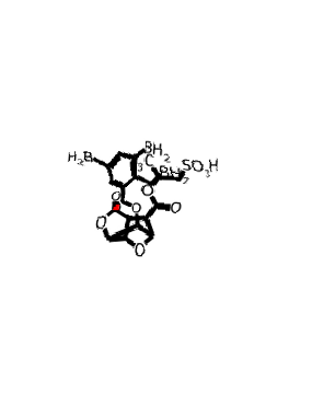 BCc1c(B)cc(B)cc1C(=O)OC1C2OC(=O)C3C2OC1C3C(=O)OC(CS(=O)(=O)O)C(F)(F)F